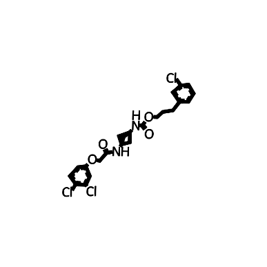 O=C(COc1ccc(Cl)c(Cl)c1)NC12CC(NC(=O)OCCCc3cccc(Cl)c3)(C1)C2